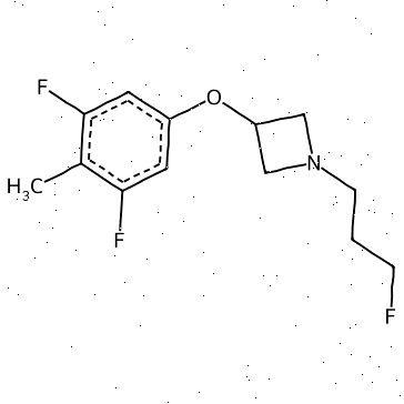 Cc1c(F)cc(OC2CN(CCCF)C2)cc1F